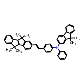 CC1(C)C2=C(c3ccccc31)C(C)(C)c1cc(/C=C/c3ccc(N(c4ccccc4)c4ccc5c(c4)C(C)(C)c4ccccc4-5)cc3)ccc12